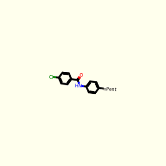 CCC[CH]Cc1ccc(NC(=O)c2ccc(Cl)cc2)cc1